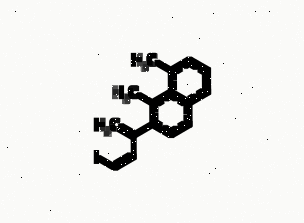 C=C(/C=C\I)c1ccc2cccc(C)c2c1C